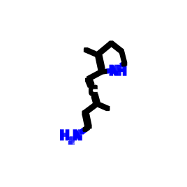 CC(=C=CC1=C(C)CCCN1)/C=C/N